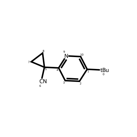 CC(C)(C)c1ccc(C2(C#N)CC2)nc1